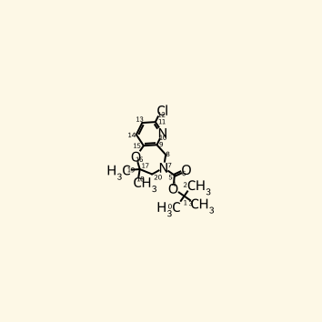 CC(C)(C)OC(=O)N1Cc2nc(Cl)ccc2OC(C)(C)C1